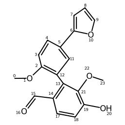 COc1ccc(-c2ccco2)cc1-c1c(C=O)ccc(O)c1OC